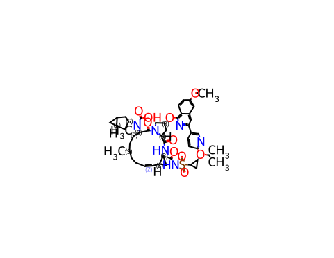 COc1ccc2c(O[C@@H]3C[C@H]4C(=O)N[C@]5(C(=O)NS(=O)(=O)C6CC6)C[C@H]5/C=C\CC[C@H](C)C[C@@H](C)[C@H](N(C(=O)O)[C@H]5CC6C[C@H]6C5)C(=O)N4C3)nc(-c3ccc(OC(C)C)nc3)cc2c1